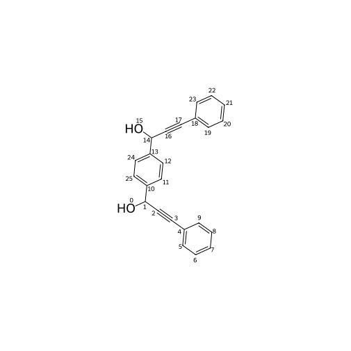 OC(C#Cc1ccccc1)c1ccc(C(O)C#Cc2ccccc2)cc1